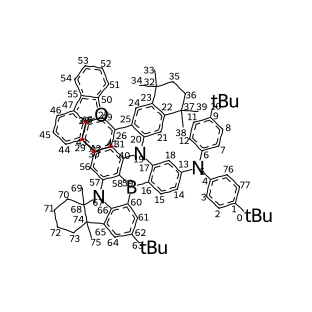 CC(C)(C)c1ccc(N(c2ccc(C(C)(C)C)cc2)c2ccc3c(c2)N(c2cc4c(cc2-c2ccccc2)C(C)(C)CCC4(C)C)c2cc(-c4cccc5c4oc4ccccc45)cc4c2B3c2cc(C(C)(C)C)cc3c2N4C2(C)CCCCC32C)cc1